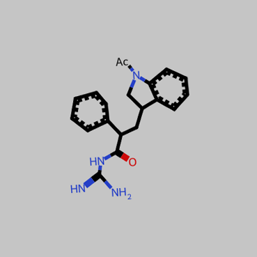 CC(=O)N1CC(CC(C(=O)NC(=N)N)c2ccccc2)c2ccccc21